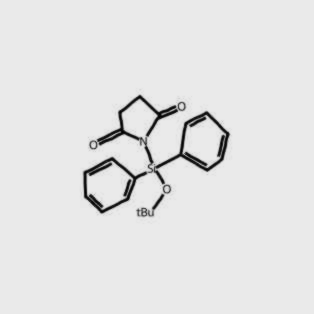 CC(C)(C)O[Si](c1ccccc1)(c1ccccc1)N1C(=O)CCC1=O